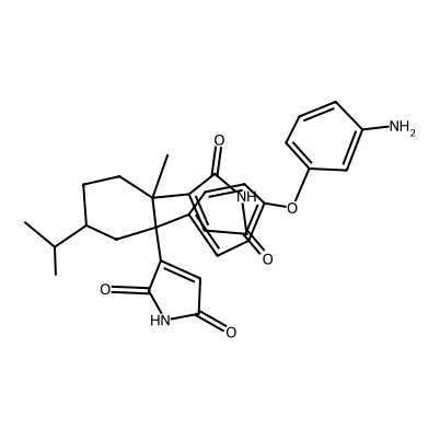 CC(C)C1CCC(C)(C2=CC(=O)NC2=O)C(C2=CC(=O)NC2=O)(c2ccc(Oc3cccc(N)c3)cc2)C1